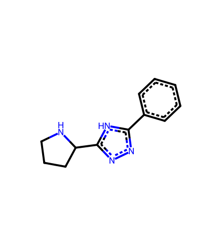 c1ccc(-c2nnc(C3CCCN3)[nH]2)cc1